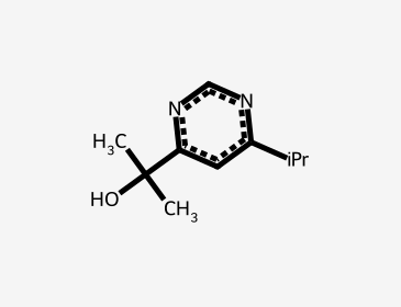 CC(C)c1cc(C(C)(C)O)ncn1